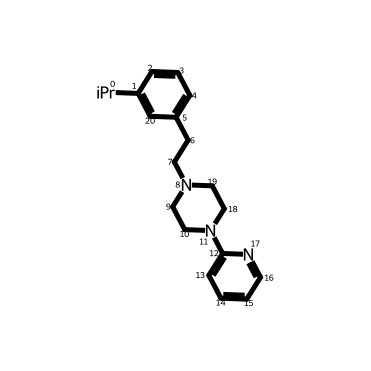 CC(C)c1cccc(CCN2CCN(c3ccccn3)CC2)c1